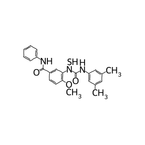 COc1ccc(C(=O)Nc2ccccc2)cc1N(S)C(=O)Nc1cc(C)cc(C)c1